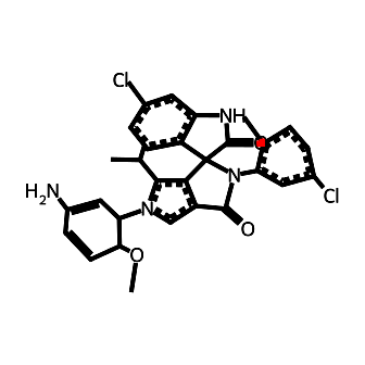 COC1C=CC(N)=CC1n1cc2c(c1C(C)C)C1(C(=O)Nc3cc(Cl)ccc31)N(c1cc(Cl)ccc1C)C2=O